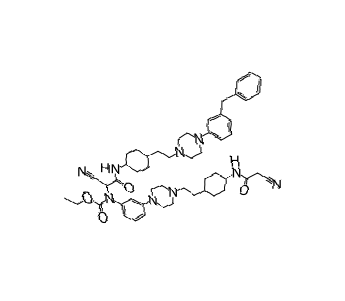 CCOC(=O)N(c1cccc(N2CCN(CCC3CCC(NC(=O)CC#N)CC3)CC2)c1)C(C#N)C(=O)NC1CCC(CCN2CCN(c3cccc(Cc4ccccc4)c3)CC2)CC1